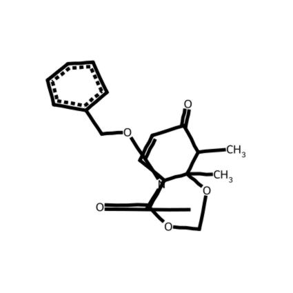 CC1C(=O)C=CC23C(OCOC12C)C(=O)N3OCc1ccccc1